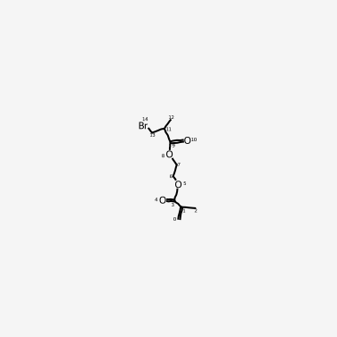 C=C(C)C(=O)OCCOC(=O)C(C)CBr